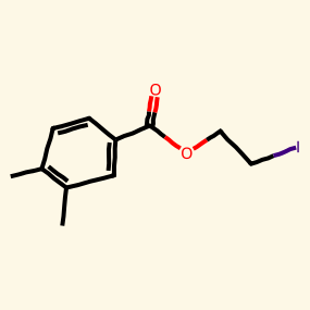 Cc1ccc(C(=O)OCCI)cc1C